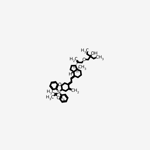 C=C1CC([Si](c2ccccc2)(c2ccccc2)C(C)(C)C)C(=O)CC1=CC=C1CCC[C@]2(C)[C@@H](C(=C)COCC(O)(CC)CC)CC[C@@H]12